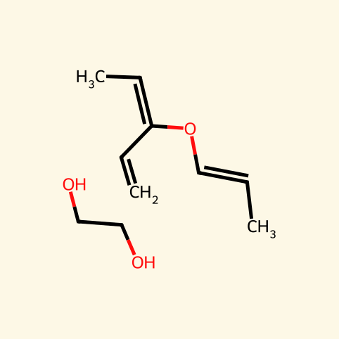 C=C/C(=C\C)O/C=C/C.OCCO